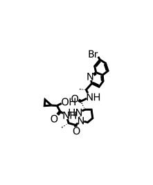 C[C@H](NC(=O)C(O)C1CC1)C(=O)N1CCC[C@@H](C(=O)N[C@H](C)c2ccc3ccc(Br)cc3n2)N1